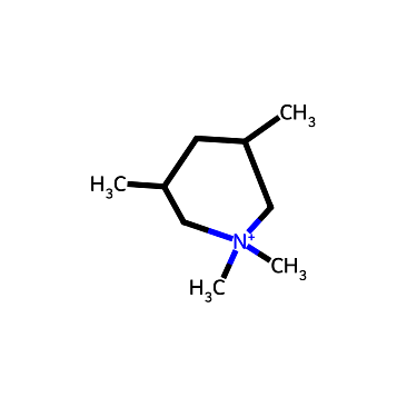 CC1CC(C)C[N+](C)(C)C1